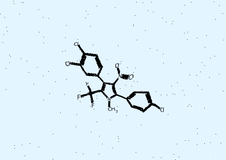 Cn1c(-c2ccc(Cl)cc2)c([N+](=O)[O-])c(-c2ccc(Cl)c(Cl)c2)c1C(F)(F)F